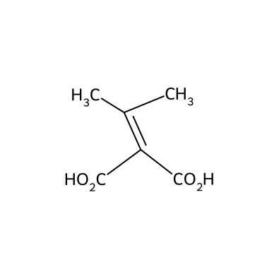 CC(C)=C(C(=O)O)C(=O)O